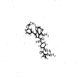 COc1cc(-c2cc(C(=O)NC3CCC(NC(=O)C4(N)CC4)CC3)c3c(N)ncnn23)ccn1